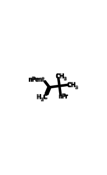 C=C(CCCCC)C(C)(C)CCC